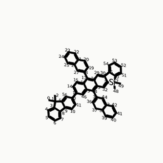 CC1(C)c2ccccc2-c2ccc(-c3ccc4c(-c5ccc6ccccc6c5)c5cc6c(cc5c(C5=CCC7C=CC=CC7=C5)c4c3)[Si](C)(C)c3ccccc3-6)cc21